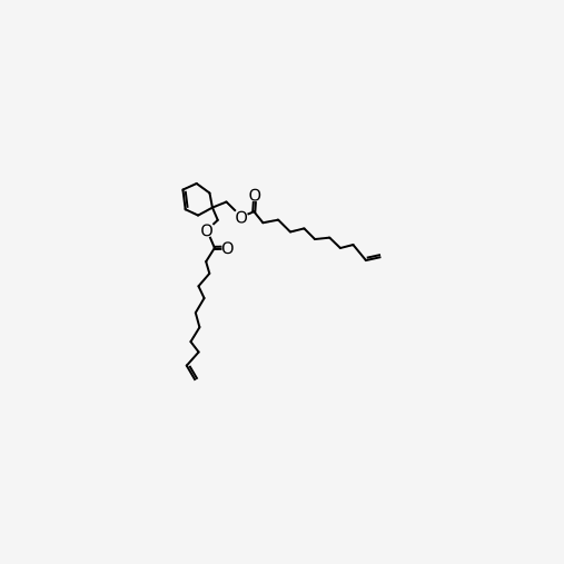 C=CCCCCCCCCC(=O)OCC1(COC(=O)CCCCCCCCC=C)CC=CCC1